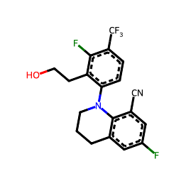 N#Cc1cc(F)cc2c1N(c1ccc(C(F)(F)F)c(F)c1CCO)CCC2